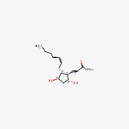 CCCCCC(=O)/C=C/[C@@H]1[C@@H](C/C=C\CCCC(=O)O)[C@H](O)C[C@H]1O